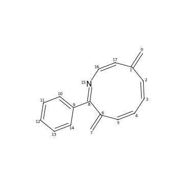 C=c1ccccc(=C)c(-c2ccccc2)ncc1